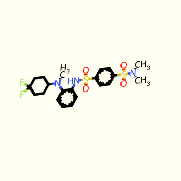 CN(c1ccccc1NS(=O)(=O)c1ccc(S(=O)(=O)N(C)C)cc1)C1CCC(F)(F)CC1